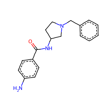 Nc1ccc(C(=O)NC2CCN(Cc3ccccc3)C2)cc1